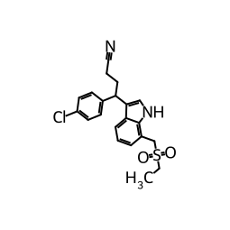 CCS(=O)(=O)Cc1cccc2c(C(CCC#N)c3ccc(Cl)cc3)c[nH]c12